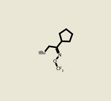 CC(C)(C)CC(=NOC(F)(F)F)C1CCCC1